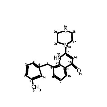 Cc1cccc(Cc2cccc3c(=O)cc(N4CCOCC4)[nH]c23)c1